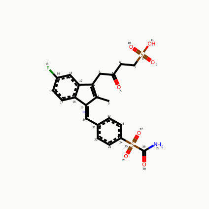 CC1=C(CC(=O)CCS(=O)(=O)O)c2cc(F)ccc2/C1=C/c1ccc(S(=O)(=O)C(N)=O)cc1